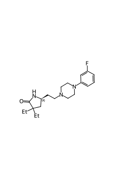 CCC1(CC)C[C@H](CCN2CCN(c3cccc(F)c3)CC2)NC1=O